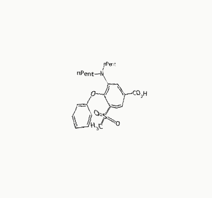 CCCCCN(CCCCC)c1cc(C(=O)O)cc(S(C)(=O)=O)c1Oc1ccccc1